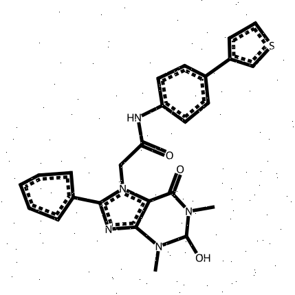 CN1C(=O)c2c(nc(-c3ccccc3)n2CC(=O)Nc2ccc(-c3ccsc3)cc2)N(C)C1O